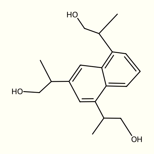 CC(CO)c1cc(C(C)CO)c2cccc(C(C)CO)c2c1